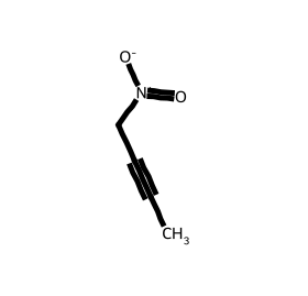 CC#CC[N+](=O)[O-]